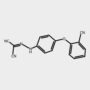 N#CC(C#N)=NNc1ccc(Oc2ccccc2C#N)cc1